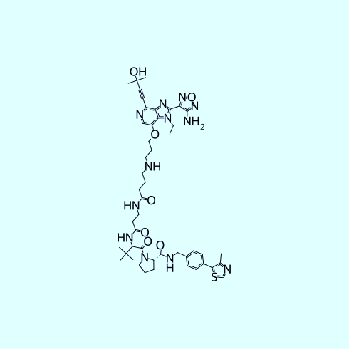 CCn1c(-c2nonc2N)nc2c(C#CC(C)(C)O)ncc(OCCCNCCCC(=O)NCCC(=O)NC(C(=O)N3CCC[C@H]3C(=O)NCc3ccc(-c4scnc4C)cc3)C(C)(C)C)c21